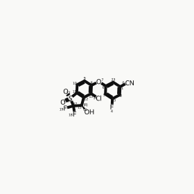 N#Cc1cc(F)cc(Oc2ccc3c(c2Cl)[C@@H](O)C(F)(F)S3(=O)=O)c1